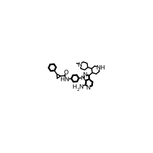 CN1CCC(C2CNCCC2c2nn(-c3ccc(NC(=O)C4CC4c4ccccc4)cc3)c3c(N)nccc23)CC1